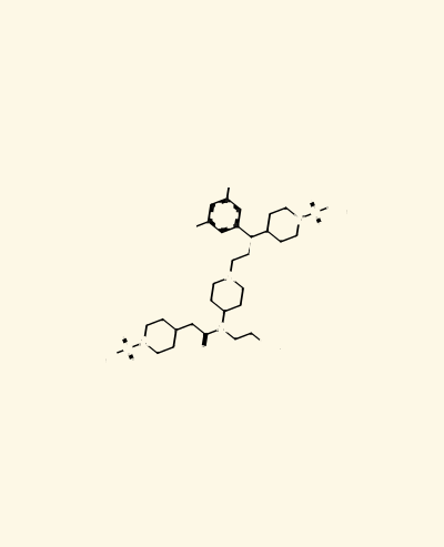 CCCN(C(=O)CC1CCN(S(C)(=O)=O)CC1)C1CCN(CC[C@@H](c2cc(F)cc(F)c2)C2CCN(S(C)(=O)=O)CC2)CC1